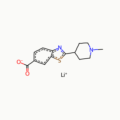 CN1CCC(c2nc3ccc(C(=O)[O-])cc3s2)CC1.[Li+]